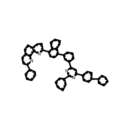 c1ccc(-c2ccc(-c3cc(-c4cccc(-c5ccc(-c6ccc7ccc8ccc(-c9ccccc9)nc8c7n6)c6ccccc56)c4)nc(-c4ccccc4)n3)cc2)cc1